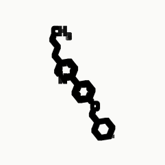 CCCCc1ccc(-c2ccc(OCC3CC[CH]CC3)cc2)nc1